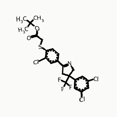 CC(C)(C)OC(=O)CSc1ccc(C2=NCC(c3cc(Cl)cc(Cl)c3)(C(F)(F)F)C2)cc1Cl